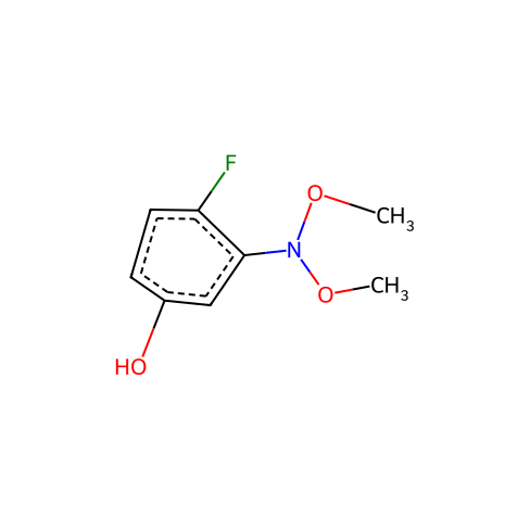 CON(OC)c1cc(O)ccc1F